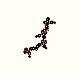 CC(C)(C)c1ccc(N(c2ccc3cc4c(cc3c2)oc2cc3cc(N(c5ccc(C(C)(C)C)cc5)c5cc(-c6ccc(N(c7ccc8cc9c(cc8c7)oc7cc8cc(N(c%10ccccc%10)c%10ccc(C(C)(C)C)cc%10-c%10ccccc%10)ccc8cc79)c7ccc(C(C)(C)C)cc7-c7ccccc7)cc6)ccc5-c5ccccc5)ccc3cc24)c2ccccc2-c2ccccc2)cc1